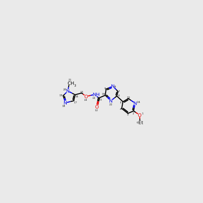 CCOc1ccc(-c2cncc(C(=O)NOCc3cncn3C)n2)cn1